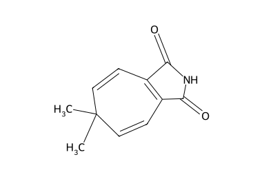 CC1(C)C=CC2=C(C=C1)C(=O)NC2=O